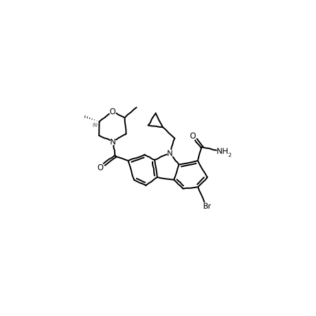 CC1CN(C(=O)c2ccc3c4cc(Br)cc(C(N)=O)c4n(CC4CC4)c3c2)C[C@H](C)O1